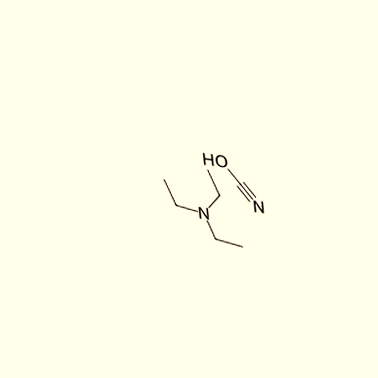 CCN(CC)CC.N#CO